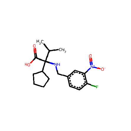 CC(C)C(NCc1ccc(F)c([N+](=O)[O-])c1)(C(=O)O)C1CCCC1